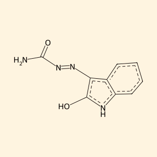 NC(=O)/N=N/c1c(O)[nH]c2ccccc12